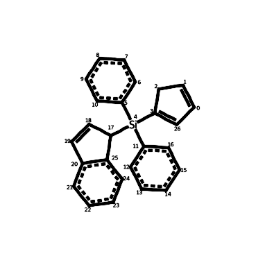 C1=CCC([Si](c2ccccc2)(c2ccccc2)C2C=Cc3ccccc32)=C1